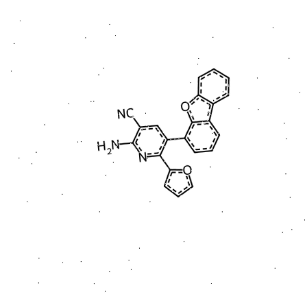 N#Cc1cc(-c2cccc3c2oc2ccccc23)c(-c2ccco2)nc1N